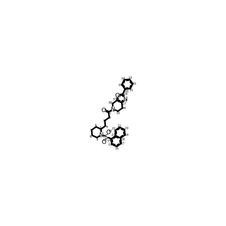 O=C(CCCC1CCCCN1S(=O)(=O)c1cccc2ccccc12)N1CCc2nc(-c3ccccc3)oc2C1